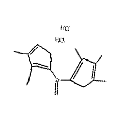 Cl.Cl.[CH2]=[Zr]([C]1=C(C)C(C)=CC1)[C]1=C(C)C(C)=C(C)C1